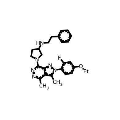 CCOc1ccc(-n2nc3c(N4CCC(NCCc5ccccc5)C4)nnc(C)c3c2C)c(F)c1